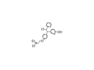 CCN(CC)CCOc1ccc(C(c2ccc(O)cc2)C(Cl)c2ccccc2)cc1